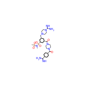 CN(S(C)(=O)=O)S(=O)(=O)c1cc(CN2CCN(C(=N)N)CC2)cc(C(=O)N2CCN(C(=O)c3ccc(C(=N)N)cc3)CC2)c1